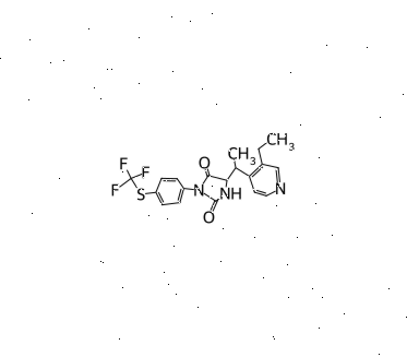 CCc1cnccc1C(C)C1NC(=O)N(c2ccc(SC(F)(F)F)cc2)C1=O